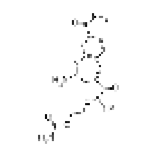 CCCN(OCCOC(N)=O)C(=O)C1=Cc2ccc(C(N)=O)cc2N=C(N)C1